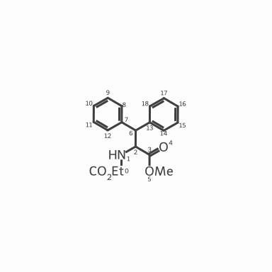 CCOC(=O)NC(C(=O)OC)C(c1ccccc1)c1ccccc1